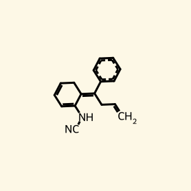 C=CCC(=C1CC=CC=C1NC#N)c1ccccc1